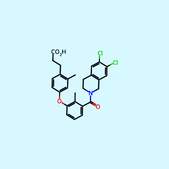 Cc1cc(Oc2cccc(C(=O)N3CCc4cc(Cl)c(Cl)cc4C3)c2C)ccc1CCC(=O)O